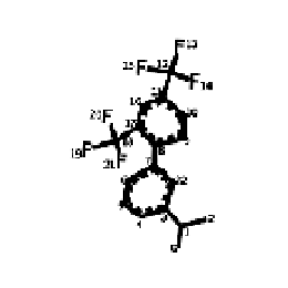 CC(C)c1cccc(-c2[c]cc(C(F)(F)F)cc2C(F)(F)F)c1